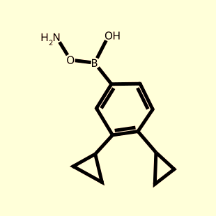 NOB(O)c1ccc(C2CC2)c(C2CC2)c1